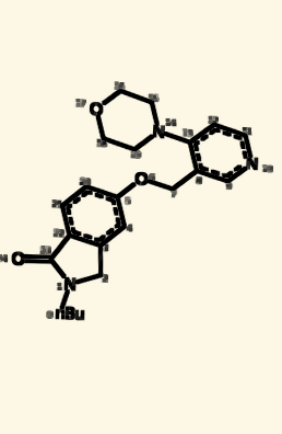 CCCCN1Cc2cc(OCc3cnccc3N3CCOCC3)ccc2C1=O